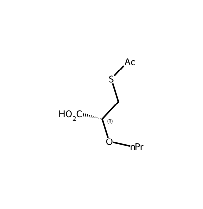 CCCO[C@@H](CSC(C)=O)C(=O)O